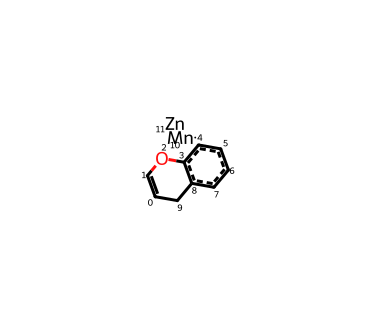 C1=COc2ccccc2C1.[Mn].[Zn]